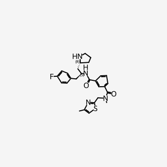 Cc1csc(CN(C)C(=O)c2cccc(C(=O)N[C@@H](Cc3ccc(F)cc3)C[C@H]3CCCN3)c2)n1